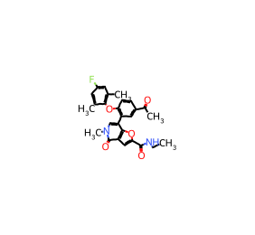 CCNC(=O)c1cc2c(=O)n(C)cc(-c3cc(C(C)=O)ccc3Oc3c(C)cc(F)cc3C)c2o1